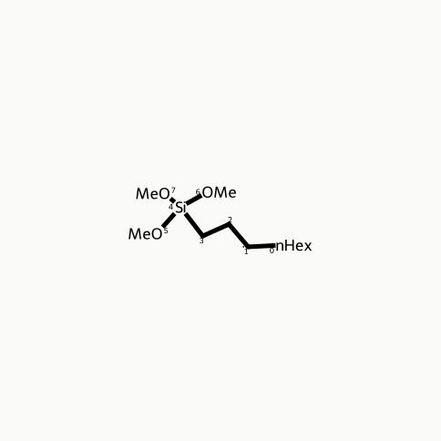 CCCCCC[CH]CC[Si](OC)(OC)OC